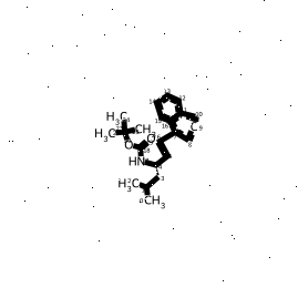 CC(C)C[C@@H](C=Cc1cccc2ccccc12)NC(=O)OC(C)(C)C